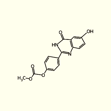 COC(=O)Oc1ccc(-c2nc3ccc(O)cc3c(=O)[nH]2)cc1